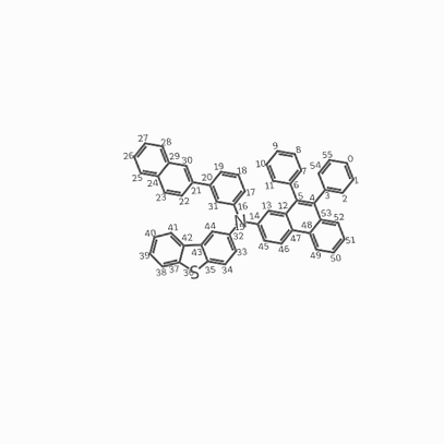 c1ccc(-c2c(-c3ccccc3)c3cc(N(c4cccc(-c5ccc6ccccc6c5)c4)c4ccc5sc6ccccc6c5c4)ccc3c3ccccc23)cc1